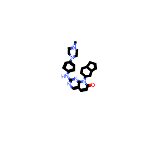 CN1CCN(c2ccc(Nc3ncc4ccc(=O)n(C5CCC6CCCC6C5)c4n3)cc2)CC1